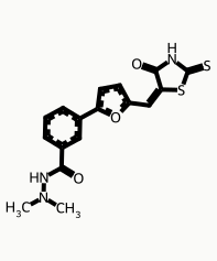 CN(C)NC(=O)c1cccc(-c2ccc(/C=C3/SC(=S)NC3=O)o2)c1